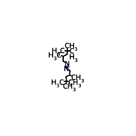 CC(C/N=N/CC(C)CC(C)(C)C)CC(C)(C)C